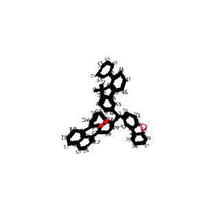 CC1(C)c2ccc(C(c3ccc(-c4cccc5cccc(-c6ccccc6)c45)cc3)c3ccc4oc5ccccc5c4c3)cc2-c2cccc(C3CCCCC3)c21